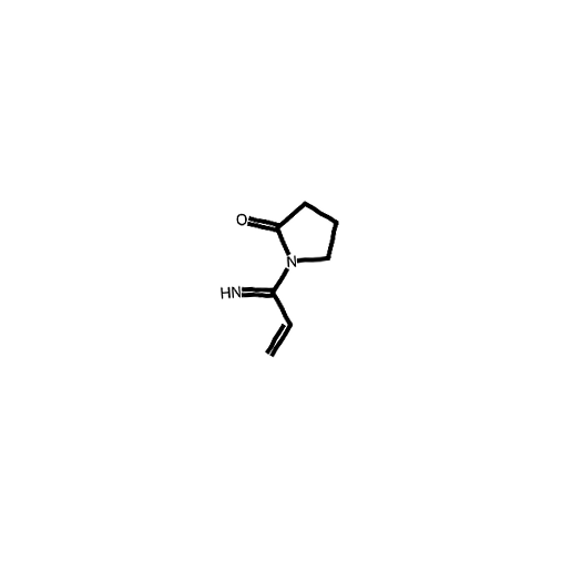 C=CC(=N)N1CCCC1=O